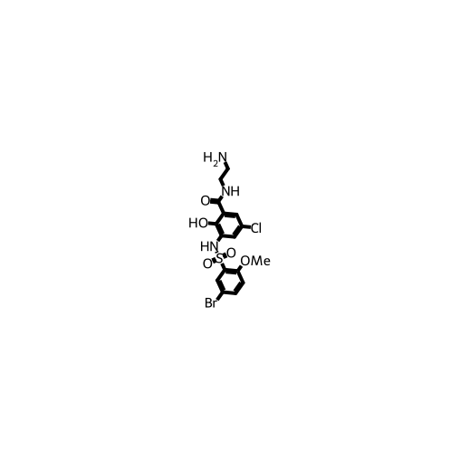 COc1ccc(Br)cc1S(=O)(=O)Nc1cc(Cl)cc(C(=O)NCCN)c1O